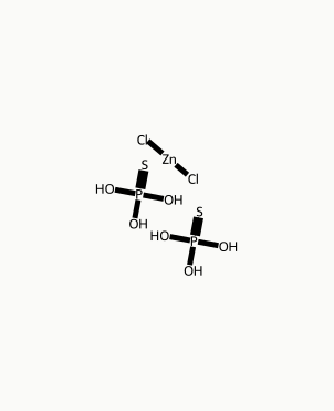 OP(O)(O)=S.OP(O)(O)=S.[Cl][Zn][Cl]